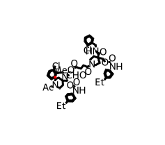 CCc1ccc(NC(=O)OCC2(C(=O)NCc3ccccc3Cl)CCN(C(=O)CCC(=O)OC)CC2)cc1.CCc1ccc(NC(=O)OCC2(N(C=O)Cc3ccccc3Cl)CCN(C(C)=O)CC2)cc1